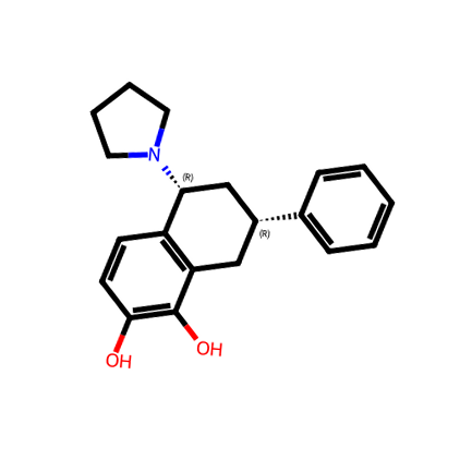 Oc1ccc2c(c1O)C[C@@H](c1ccccc1)C[C@H]2N1CCCC1